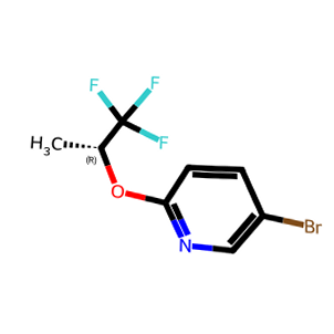 C[C@@H](Oc1ccc(Br)cn1)C(F)(F)F